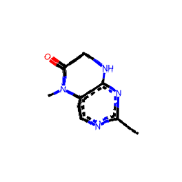 Cc1ncc2c(n1)NCC(=O)N2C